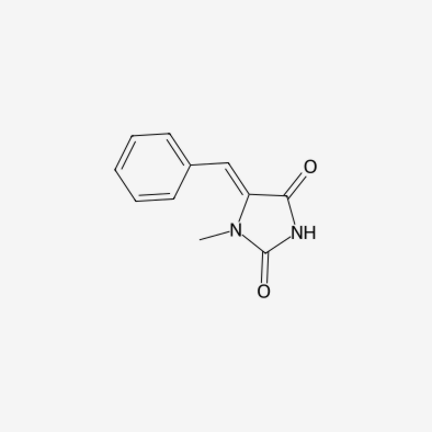 CN1C(=O)NC(=O)C1=Cc1ccccc1